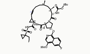 COc1cnc(O[C@@H]2C[C@H]3C(=O)N[C@]4(C(=O)NS(=O)(=O)C5(CF)CC5)CC4/C=C\CC[C@@H](C)C[C@@H](C)[C@H](NC(=O)OC(C)(C)C)C(=O)N3C2)c2ccc(F)cc12